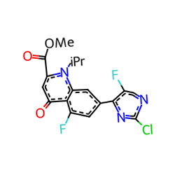 COC(=O)c1cc(=O)c2c(F)cc(-c3nc(Cl)ncc3F)cc2n1C(C)C